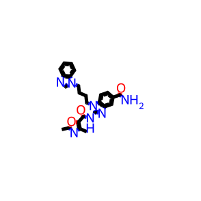 Cc1nc(C)c(C(=O)Nc2nc3cc(C(N)=O)ccc3n2CCCCn2cnc3ccccc32)o1